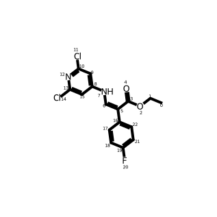 CCOC(=O)C(=CNc1cc(Cl)nc(Cl)c1)c1ccc(F)cc1